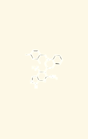 Cc1ccc(CN2CC(N3C(N)=Nc4[nH]ncc4C3N)Cc3ccccc32)c(C)c1